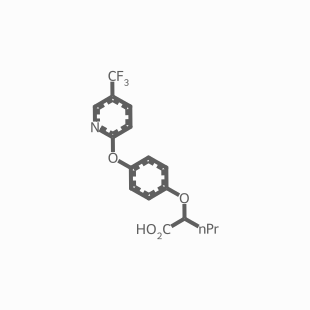 CCCC(Oc1ccc(Oc2ccc(C(F)(F)F)cn2)cc1)C(=O)O